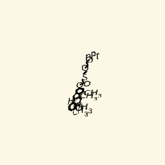 CCCOCCOCCSCC(=O)Oc1cc(C)c2c(c1)C[C@H]1[C@@]3(C)CCCC(C)(C)[C@@H]3CC[C@@]21C